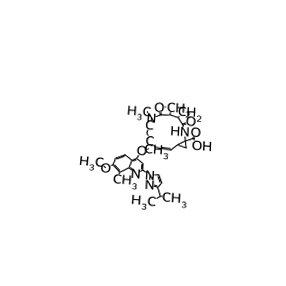 COc1ccc2c(OC)cc(-n3ccc(C(C)C)n3)nc2c1C.[CH2]C1C(=O)NC2(C(=O)O)CC2C=CCCCCN(C)C(=O)C1[CH2]